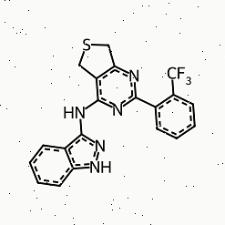 FC(F)(F)c1ccccc1-c1nc2c(c(Nc3n[nH]c4ccccc34)n1)CSC2